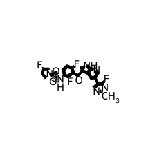 Cc1ncc(-c2cnc3[nH]cc(C(=O)c4c(F)ccc(NS(=O)(=O)N5CC[C@@H](F)C5)c4F)c3c2)c(F)n1